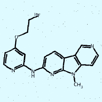 Cn1c2ccncc2c2ccc(Nc3cc(OCC[18F])ccn3)nc21